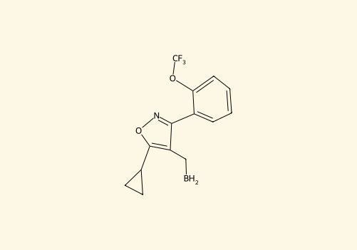 BCc1c(-c2ccccc2OC(F)(F)F)noc1C1CC1